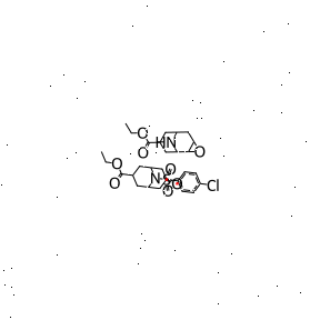 CCOC(=O)C1CC2CC(=O)CC(C1)N2S(=O)(=O)c1ccc(Cl)cc1.CCOC(=O)C1CC2CC3OC3C(C1)N2